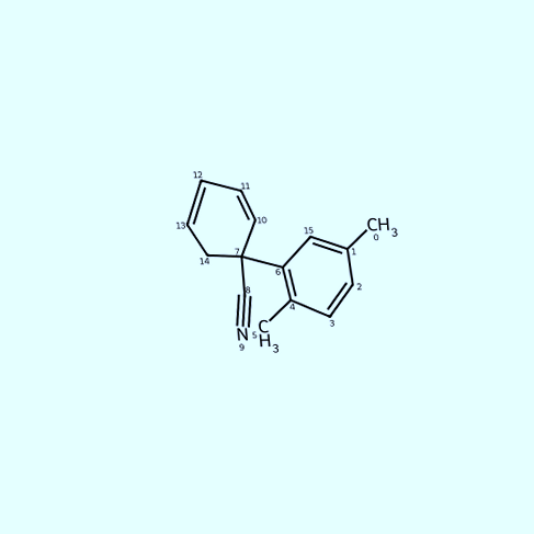 Cc1ccc(C)c(C2(C#N)C=CC=CC2)c1